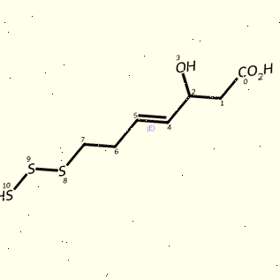 O=C(O)CC(O)/C=C/CCSSS